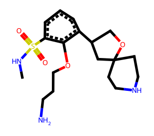 CNS(=O)(=O)c1cccc(C2COC3(CCNCC3)C2)c1OCCCN